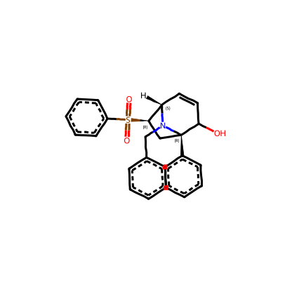 O=S(=O)(c1ccccc1)[C@@H]1C[C@@]2(c3ccccc3)C(O)C=C[C@@H]1N2Cc1ccccc1